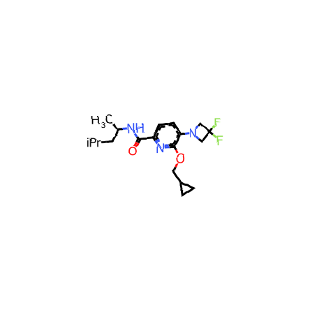 CC(C)C[C@@H](C)NC(=O)c1ccc(N2CC(F)(F)C2)c(OCC2CC2)n1